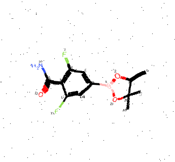 C=C1OB(c2cc(F)c(C(N)=O)c(F)c2)OC1(C)C